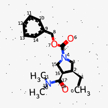 CC[C@@H]1CN(C(=O)OCc2ccccc2)C[C@@H]1C(=O)N(C)C